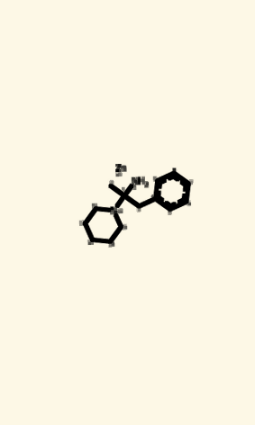 CC(N)(Cc1ccccc1)N1CCCCC1.[Zn]